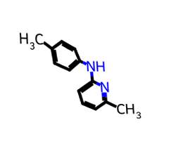 Cc1ccc(Nc2cccc(C)n2)cc1